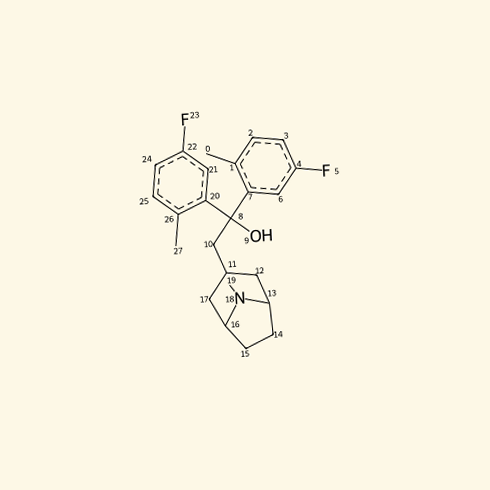 Cc1ccc(F)cc1C(O)(CC1CC2CCC(C1)N2C)c1cc(F)ccc1C